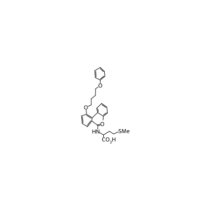 CSCCC(NC(=O)c1cccc(OCCCCOc2ccccc2)c1-c1ccccc1C)C(=O)O